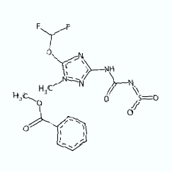 COC(=O)c1ccccc1.Cn1nc(NC(=O)N=S(=O)=O)nc1OC(F)F